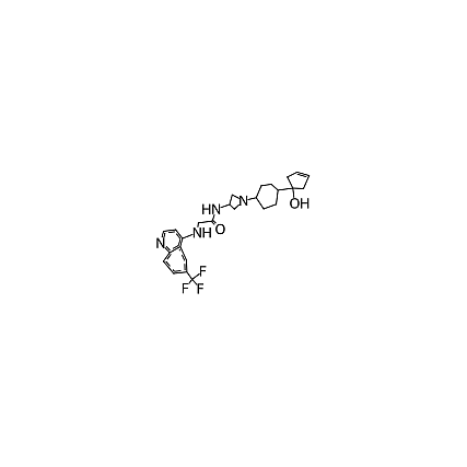 O=C(CNc1ccnc2ccc(C(F)(F)F)cc12)NC1CN(C2CCC(C3(O)CC=CC3)CC2)C1